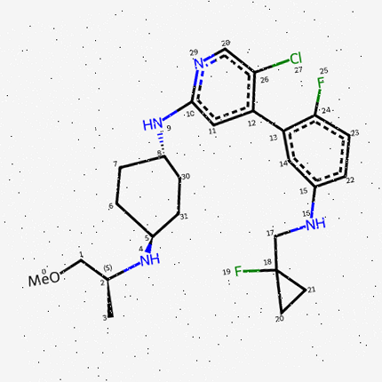 COC[C@H](C)N[C@H]1CC[C@H](Nc2cc(-c3cc(NCC4(F)CC4)ccc3F)c(Cl)cn2)CC1